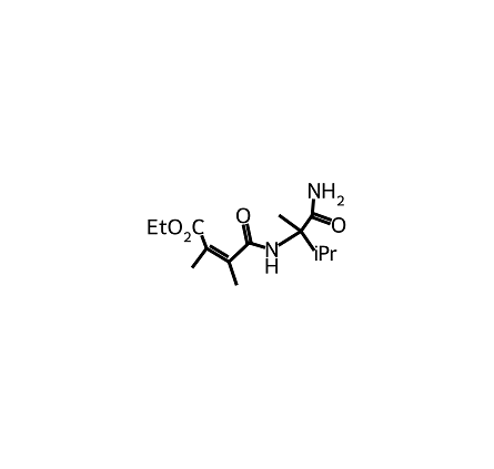 CCOC(=O)C(C)=C(C)C(=O)NC(C)(C(N)=O)C(C)C